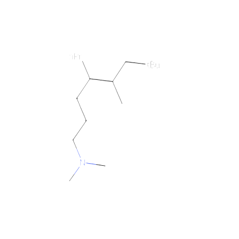 CCCC(CCCN(C)C)C(C)CC(C)(C)C